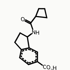 O=C(O)c1ccc2c(c1)C(NC(=O)C1CCC1)CC2